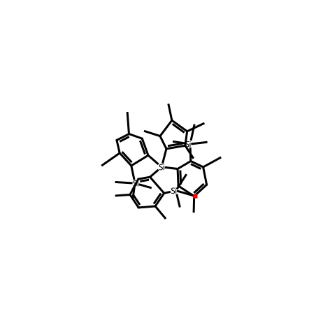 CC1=C(C)C(C)C([Si](c2cc(C)cc(C)c2[Si](C)(C)C)(c2cc(C)cc(C)c2[Si](C)(C)C)c2cc(C)cc(C)c2[Si](C)(C)C)=C1C